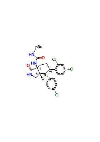 CCCCNC(=O)N[C@@]12CC[C@@H](c3ccc(Cl)cc3Cl)[C@H](c3ccc(Cl)cc3)[C@@H]1CNC2=O